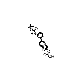 CC(C)(C)OC(=O)Nc1cccc(-c2ccc3nc(OC(=O)O)cn3c2)n1